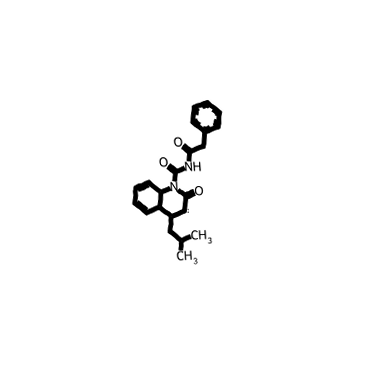 CC(C)CC1[C]C(=O)N(C(=O)NC(=O)Cc2ccccc2)C2C=CC=CC12